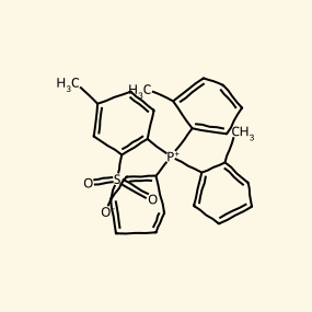 Cc1ccc([P+](c2ccccc2)(c2ccccc2C)c2ccccc2C)c(S(=O)(=O)[O-])c1